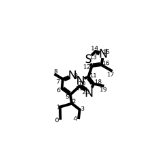 CCC(CC)c1cc(C)nn2c(-c3scnc3C)c(C)nc12